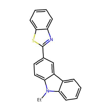 CCn1c2ccccc2c2cc(-c3nc4ccccc4s3)ccc21